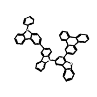 c1ccc(-n2c3ccccc3c3cc(-c4ccc5c(c4)c4ccccc4n5-c4cc(-c5ccc6c7ccccc7c7ccccc7c6c5)c5oc6ccccc6c5c4)ccc32)cc1